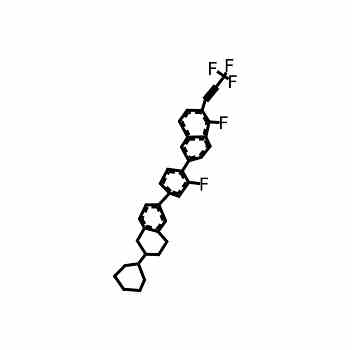 Fc1cc(-c2ccc3c(c2)CCC(C2CCCCC2)C3)ccc1-c1ccc2c(F)c(C#CC(F)(F)F)ccc2c1